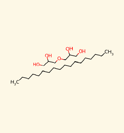 CCCCCCCCCCCCCCCCCC.OCC(O)COCC(O)CO